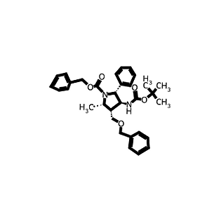 C[C@H]1[C@@H](COCc2ccccc2)[C@H](NC(=O)OC(C)(C)C)[C@@H](c2ccccc2)N1C(=O)OCc1ccccc1